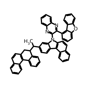 CC(c1ccc2c3c4ccccc4ccc3n(-c3nc4ccccc4nc3-c3cccc4oc5ccccc5c34)c2c1)C1Cc2ccc3ccccc3c2-c2ccccc21